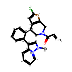 C=CC(=O)N1Cc2sc(Cl)cc2[C@H](c2ccccc2-c2cn(CC)[n+]3ccccc23)C1